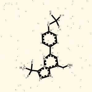 CC(F)(F)c1nnc2c(CO)cc(-c3ccc(OC(F)(F)F)cc3)nn12